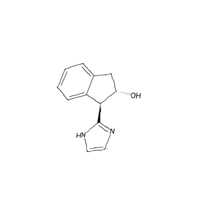 O[C@H]1Cc2ccccc2[C@@H]1c1n[c]c[nH]1